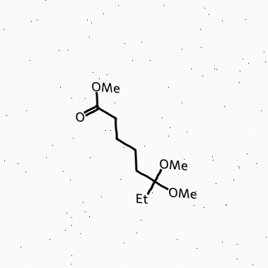 CCC(CCCCC(=O)OC)(OC)OC